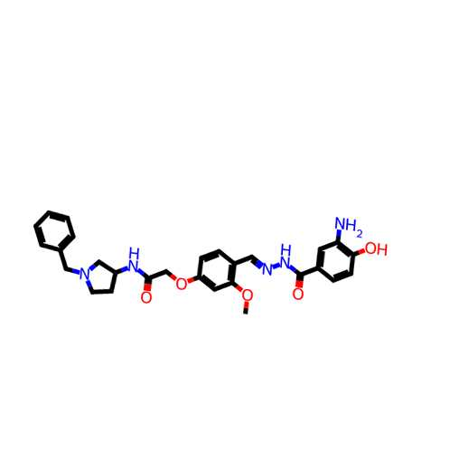 COc1cc(OCC(=O)NC2CCN(Cc3ccccc3)C2)ccc1C=NNC(=O)c1ccc(O)c(N)c1